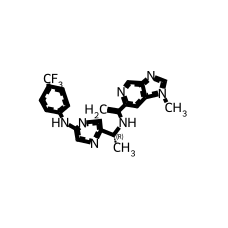 C=C(N[C@H](C)c1cnc(Nc2ccc(C(F)(F)F)cc2)cn1)c1cc2c(cn1)ncn2C